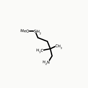 CO[SiH2]CCC(C)(C)CN